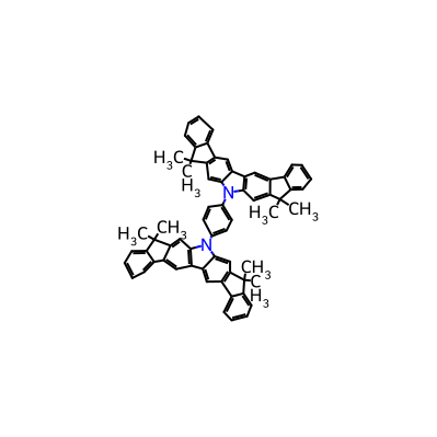 CC1(C)c2ccccc2-c2cc3c4cc5c(cc4n(-c4ccc(-n6c7cc8c(cc7c7cc9c(cc76)C(C)(C)c6ccccc6-9)-c6ccccc6C8(C)C)cc4)c3cc21)C(C)(C)c1ccccc1-5